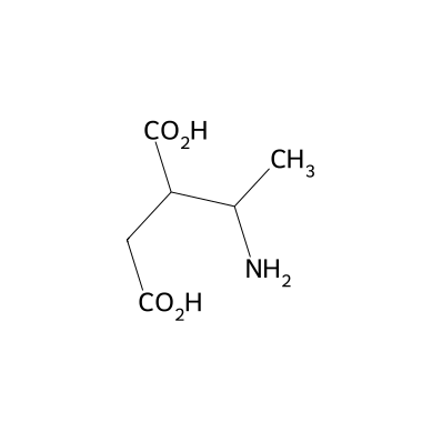 CC(N)C(CC(=O)O)C(=O)O